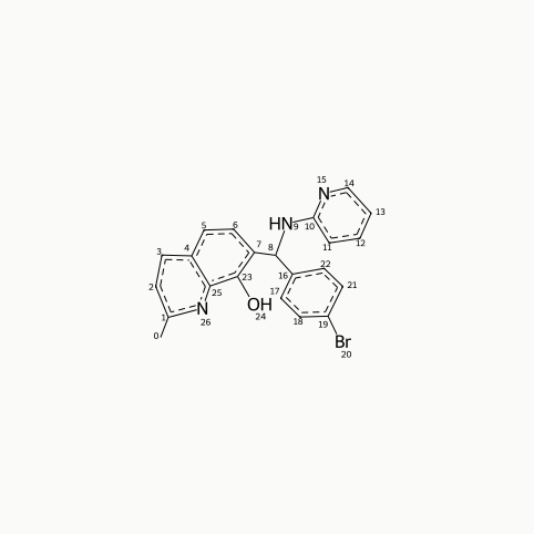 Cc1ccc2ccc(C(Nc3ccccn3)c3ccc(Br)cc3)c(O)c2n1